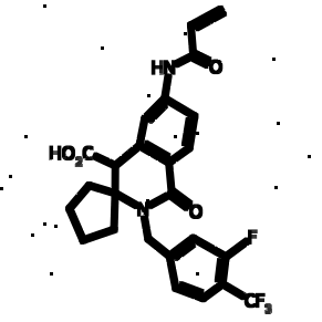 C=CC(=O)Nc1ccc2c(c1)C(C(=O)O)C1(CCCC1)N(Cc1ccc(C(F)(F)F)c(F)c1)C2=O